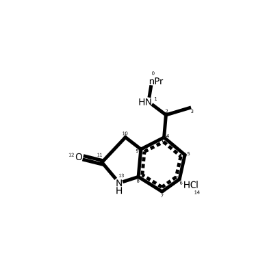 CCCNC(C)c1cccc2c1CC(=O)N2.Cl